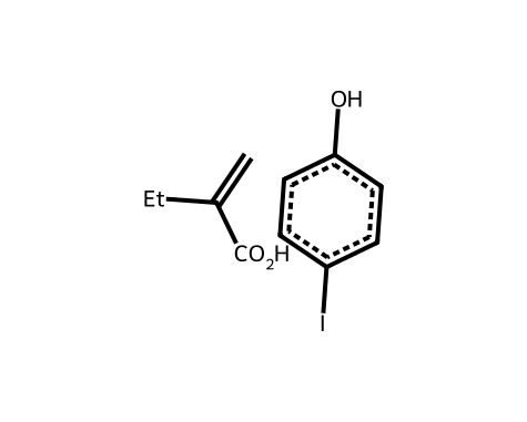 C=C(CC)C(=O)O.Oc1ccc(I)cc1